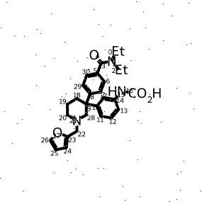 CCN(CC)C(=O)c1ccc(C2(c3cccc(NC(=O)O)c3)CCCN(Cc3ccco3)C2)cc1